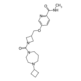 CNC(=O)c1ccc(OCC2CN(C(=O)N3CCCN(C4CCC4)CC3)C2)cn1